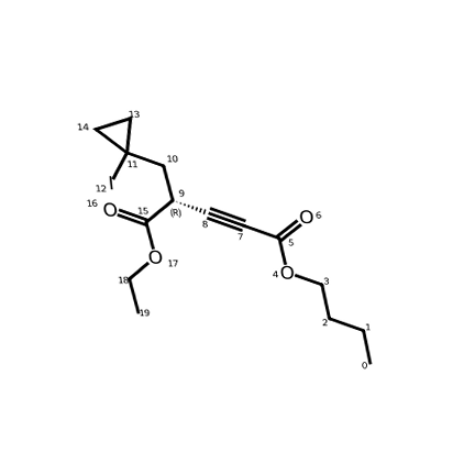 CCCCOC(=O)C#C[C@@H](CC1(I)CC1)C(=O)OCC